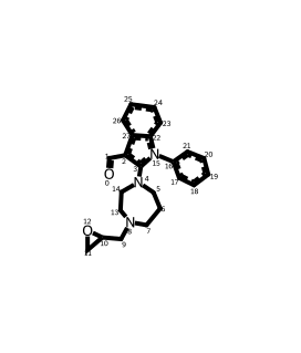 O=Cc1c(N2CCCN(CC3CO3)CC2)n(-c2ccccc2)c2ccccc12